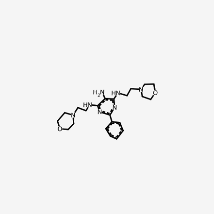 Nc1c(NCCN2CCOCC2)nc(-c2ccccc2)nc1NCCN1CCOCC1